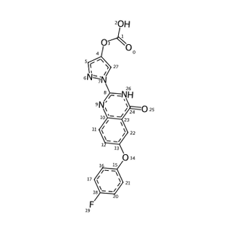 O=C(O)Oc1cnn(-c2nc3ccc(Oc4ccc(F)cc4)cc3c(=O)[nH]2)c1